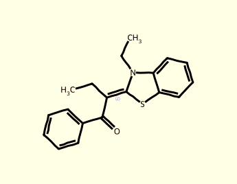 CC/C(C(=O)c1ccccc1)=C1/Sc2ccccc2N1CC